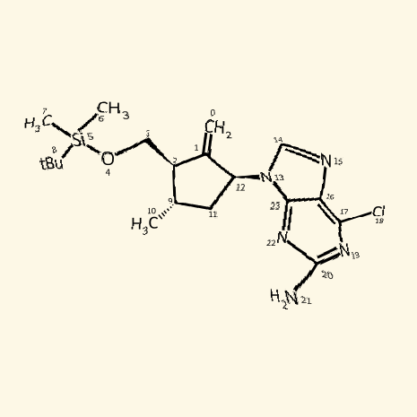 C=C1[C@H](CO[Si](C)(C)C(C)(C)C)[C@@H](C)C[C@@H]1n1cnc2c(Cl)nc(N)nc21